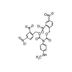 CNc1ccc(N(C(=O)OCc2ccc([N+](=O)[O-])cc2[N+](=O)[O-])C(=O)OCc2ccc([N+](=O)[O-])cc2[N+](=O)[O-])cc1